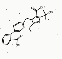 CCc1nc(C(C)(C)O)c(C(=O)O)n1Cc1ccc(-c2ccccc2C(=O)O)cc1